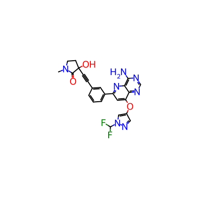 CN1CCC(O)(C#Cc2cccc(-c3cc(Oc4cnn(C(F)F)c4)c4ncnc(N)c4n3)c2)C1=O